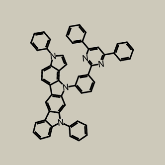 c1ccc(-c2cc(-c3ccccc3)nc(-c3cccc(-n4c5cc6c(cc5c5ccc7c(ccn7-c7ccccc7)c54)c4ccccc4n6-c4ccccc4)c3)n2)cc1